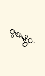 COc1ccccc1N1CCN(CCN(c2ccccn2)C(=O)[C@H]2CC[C@@H](C)CC2)CC1